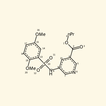 CCCOC(=O)c1cncc(NS(=O)(=O)c2cc(OC)ccc2OC)c1